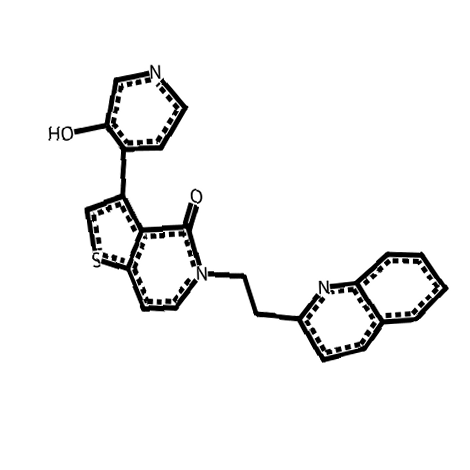 O=c1c2c(-c3ccncc3O)csc2ccn1CCc1ccc2ccccc2n1